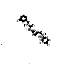 O=C(NCc1cccc(F)c1)Nc1nc(CS(=O)(=O)c2c[nH]c(=O)cn2)cs1